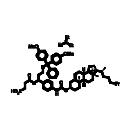 CCN(CC)CC.COc1ccc(C(OCCC(OC(=O)CCC(=O)O)c2ccc(NC(=O)O[C@H]3CC[C@@]4(C)C(=CC[C@H]5[C@@H]6CC[C@H]([C@H](C)CCCC(C)C)[C@@]6(C)CC[C@@H]54)C3)cc2)(c2ccccc2)c2ccc(OC)cc2)cc1